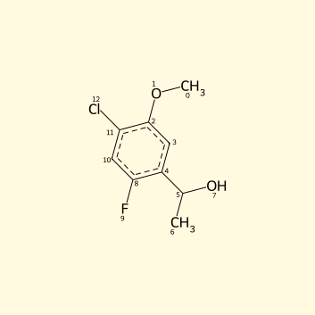 COc1cc(C(C)O)c(F)cc1Cl